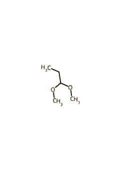 CC[C](OC)OC